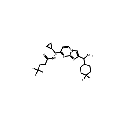 NC(c1cn2ccc([C@H](NC(=O)CCC(F)(F)F)C3CC3)nc2n1)C1CCC(F)(F)CC1